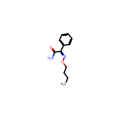 CCCCON=C(C(N)=O)c1ccccc1